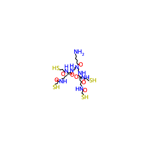 NCCCCCC(=O)N(CCNC(=O)[C@H](CCCCNC(=O)CCS)NC(=O)CCS)CCNC(=O)[C@H](CCCCNC(=O)CCS)NC(=O)CCS